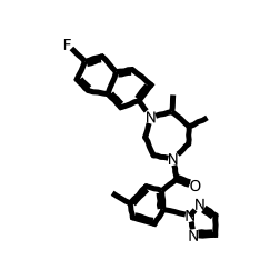 Cc1ccc(-n2nccn2)c(C(=O)N2CCN(c3ccc4cc(F)ccc4c3)C(C)C(C)C2)c1